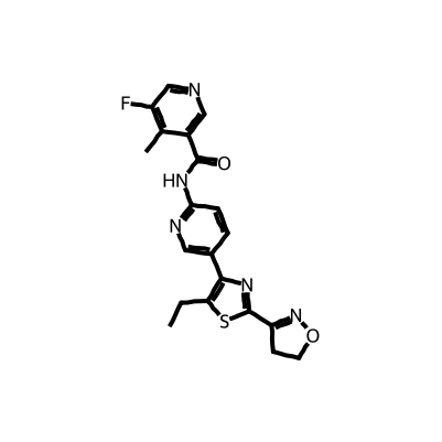 CCc1sc(C2=NOCC2)nc1-c1ccc(NC(=O)c2cncc(F)c2C)nc1